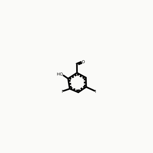 O=[C]c1cc(I)cc(I)c1O